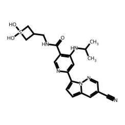 CC(C)Nc1cc(-c2ccc3cc(C#N)cnn23)ncc1C(=O)NCC1CS(O)(O)C1